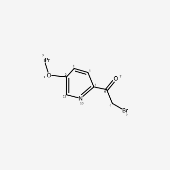 CC(C)Oc1ccc(C(=O)CBr)nc1